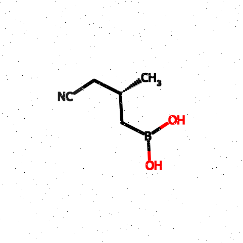 C[C@@H](CC#N)CB(O)O